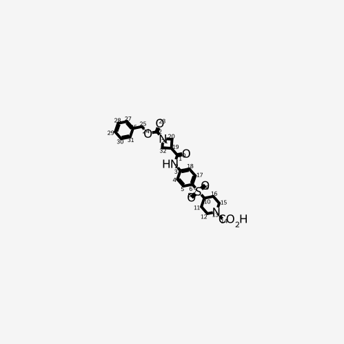 O=C(Nc1ccc(S(=O)(=O)C2CCN(C(=O)O)CC2)cc1)C1CN(C(=O)OCc2ccccc2)C1